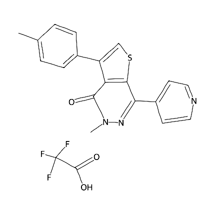 Cc1ccc(-c2csc3c(-c4ccncc4)nn(C)c(=O)c23)cc1.O=C(O)C(F)(F)F